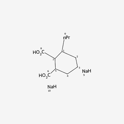 CCCC1CCCC(C(=O)O)C1C(=O)O.[NaH].[NaH]